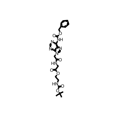 CC(C)(C)OC(=O)NCCOC(=O)CNC(=O)Cn1cnc2c(NC(=O)OCc3ccccc3)ncnc21